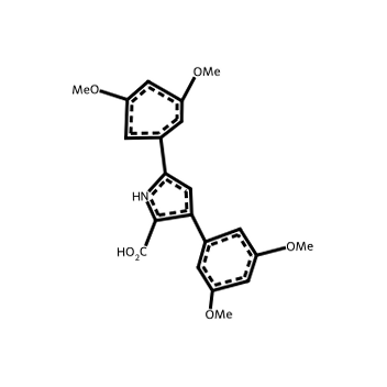 COc1cc(OC)cc(-c2cc(-c3cc(OC)cc(OC)c3)c(C(=O)O)[nH]2)c1